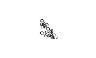 CCCCN(CCCC)C(=O)c1cc(C)n(-c2ccc(NC(=O)NCc3ccccc3Cl)cc2C(=O)N2Cc3ccccc3C[C@H]2CO)n1